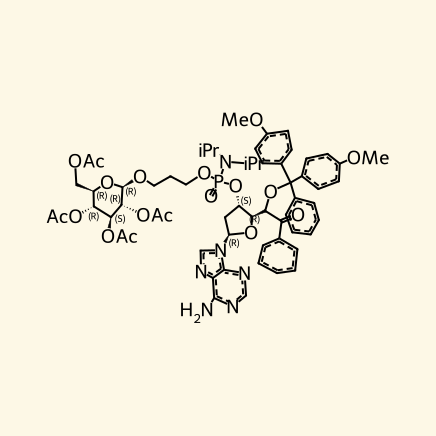 COc1ccc(C(OC(C(=O)c2ccccc2)[C@H]2O[C@@H](n3cnc4c(N)ncnc43)C[C@@H]2OP(=O)(OCCCO[C@@H]2O[C@H](COC(C)=O)[C@@H](OC(C)=O)[C@H](OC(C)=O)[C@H]2OC(C)=O)N(C(C)C)C(C)C)(c2ccccc2)c2ccc(OC)cc2)cc1